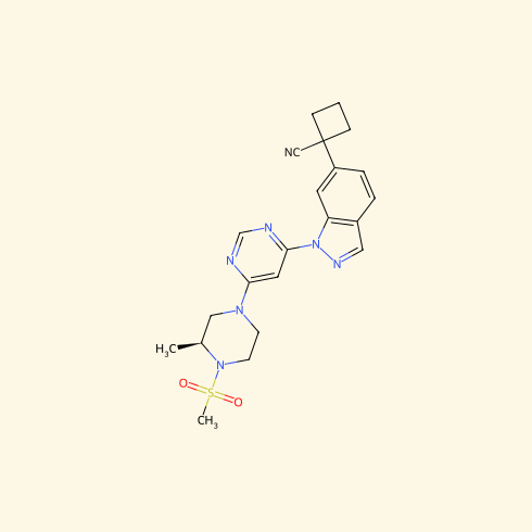 C[C@H]1CN(c2cc(-n3ncc4ccc(C5(C#N)CCC5)cc43)ncn2)CCN1S(C)(=O)=O